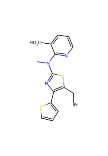 CC(C)Cc1sc(N(C)c2ncccc2C(=O)O)nc1-c1cccs1